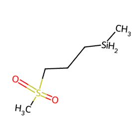 C[SiH2]CCCS(C)(=O)=O